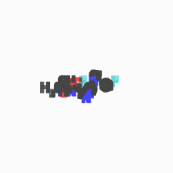 CN(C)S(=O)(=O)NC(=O)c1cnn2ccc(N3CCC[C@@H]3c3cccc(F)c3)c(F)c12